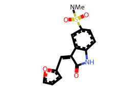 CNS(=O)(=O)c1ccc2c(c1)C(=Cc1ccco1)C(=O)N2